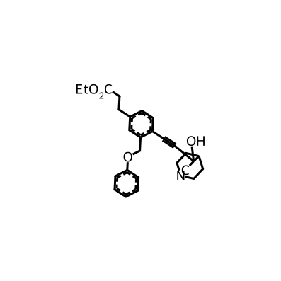 CCOC(=O)CCc1ccc(C#CC2(O)CN3CCC2CC3)c(COc2ccccc2)c1